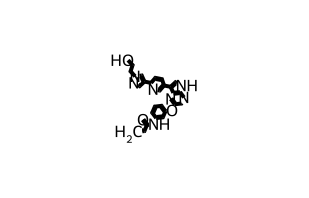 C=CC(=O)Nc1cccc(Oc2cnc3[nH]cc(-c4ccc(-c5cnn(CCO)c5)nc4)c3n2)c1